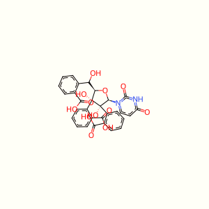 O=C(O)c1ccccc1C(O)[C@H]1O[C@@H](n2ccc(=O)[nH]c2=O)[C@@](O)(c2ccccc2C(=O)O)[C@@]1(O)c1ccccc1C(=O)O